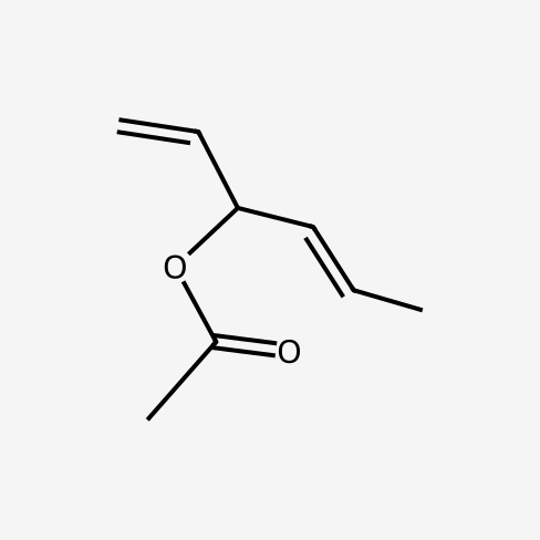 C=CC(C=CC)OC(C)=O